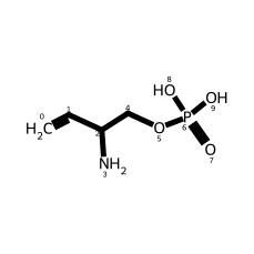 C=CC(N)COP(=O)(O)O